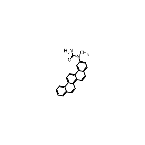 CN(C(N)=O)c1ccc2ccc3c(ccc4c5ccccc5ccc43)c2c1